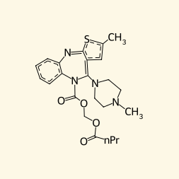 CCCC(=O)OCOC(=O)N1C(N2CCN(C)CC2)=c2cc(C)sc2=Nc2ccccc21